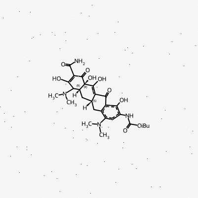 CC(C)COC(=O)Nc1cc(N(C)C)c2c(c1O)C(=O)C1=C(O)[C@@]3(O)C(=O)C(C(N)=O)=C(O)C(N(C)C)[C@H]3C[C@H]1C2